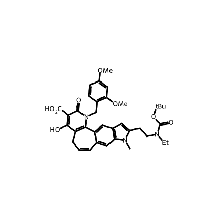 CCN(CCc1cc2cc3c(cc2n1C)C=CCc1c(O)c(C(=O)O)c(=O)n(Cc2ccc(OC)cc2OC)c1-3)C(=O)OC(C)(C)C